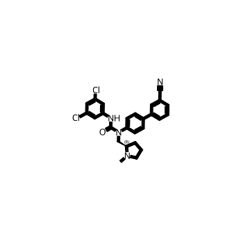 CN1CCC[C@@H]1CN(C(=O)Nc1cc(Cl)cc(Cl)c1)c1ccc(-c2cccc(C#N)c2)cc1